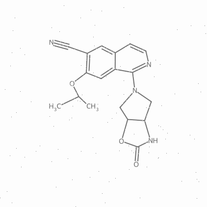 CC(C)Oc1cc2c(N3CC4NC(=O)OC4C3)nccc2cc1C#N